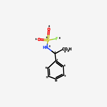 O=C(O)C(NS(=O)(=O)F)c1ccccc1